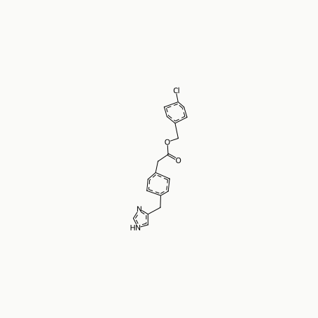 O=C(Cc1ccc(Cc2c[nH]cn2)cc1)OCc1ccc(Cl)cc1